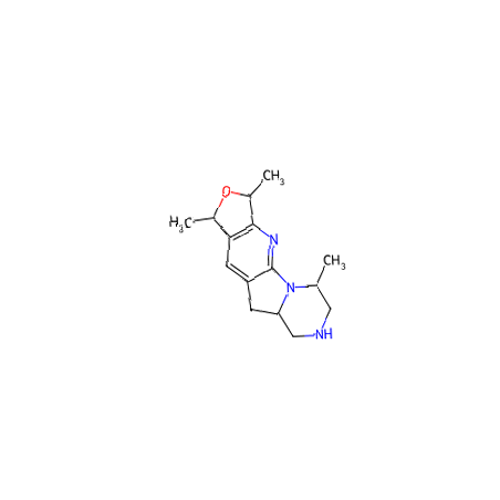 CC1OC(C)c2nc3c(cc21)CC1CNCC(C)N31